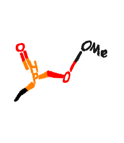 COO[PH](C)=O